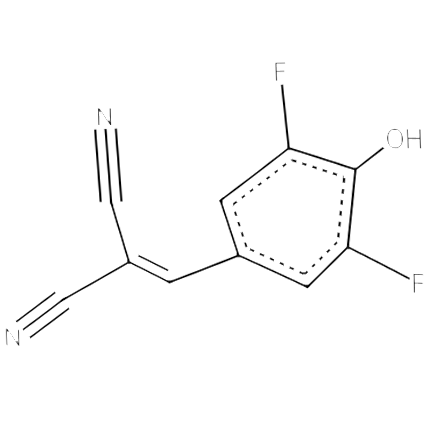 N#CC(C#N)=Cc1cc(F)c(O)c(F)c1